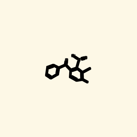 Cc1ccc(C(=O)c2ccccc2)c([N+](=O)[O-])c1C